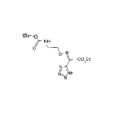 CCOC(=O)/C(=N/OCCNC(=O)OC(C)(C)C)c1nnn[nH]1